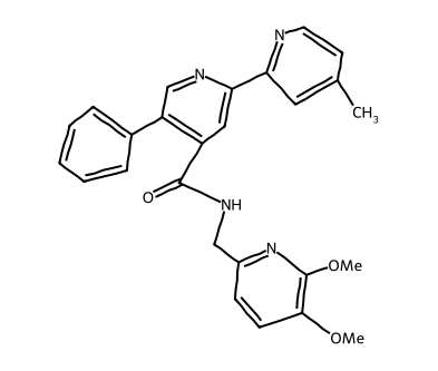 COc1ccc(CNC(=O)c2cc(-c3cc(C)ccn3)ncc2-c2ccccc2)nc1OC